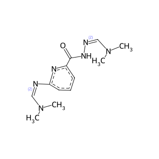 CN(C)/C=N\NC(=O)c1cccc(/N=C\N(C)C)n1